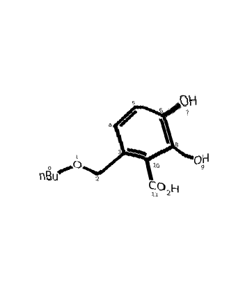 CCCCOCc1ccc(O)c(O)c1C(=O)O